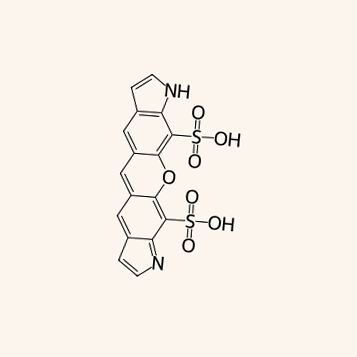 O=S(=O)(O)c1c2nccc2cc2cc3cc4cc[nH]c4c(S(=O)(=O)O)c3oc12